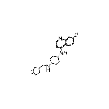 Clc1ccc2c(N[C@H]3CC[C@@H](NCC4CCOC4)CC3)ccnc2c1